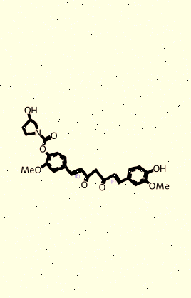 COc1cc(/C=C/C(=O)CC(=O)/C=C/c2ccc(OC(=O)N3CCC(O)C3)c(OC)c2)ccc1O